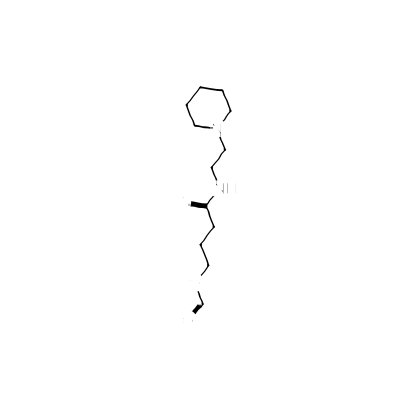 O=COCCCC(=O)NCCN1CCCCC1